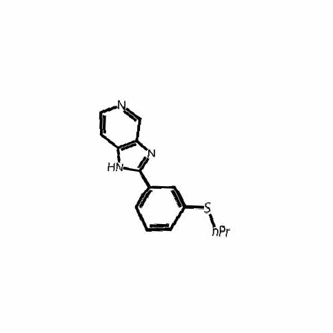 CCCSc1cccc(-c2nc3cnccc3[nH]2)c1